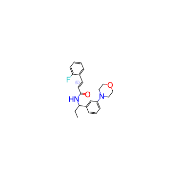 CCC(NC(=O)/C=C/c1ccccc1F)c1cccc(N2CCOCC2)c1